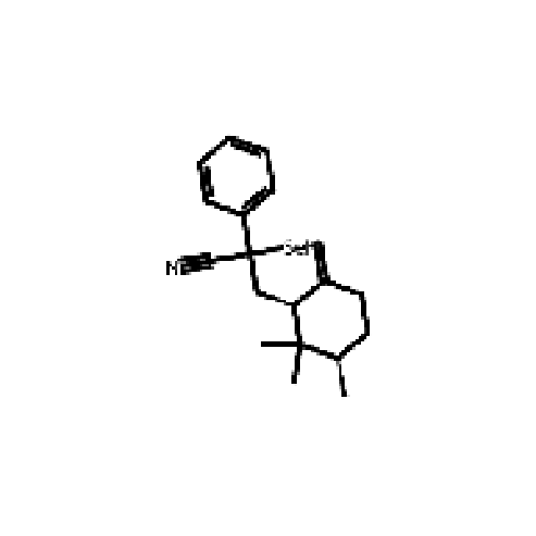 C=C1CC[C@@H](C)C(C)(C)[C@H]1CC([SeH])(C#N)c1ccccc1